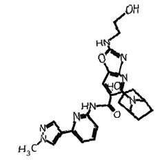 Cn1cc(-c2cccc(NC(=O)c3cc4oc(NCCO)nc4nc3N3C4CCC3CC(O)C4)n2)cn1